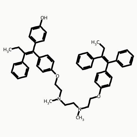 CC/C(=C(\c1ccccc1)c1ccc(OCCN(C)CCN(C)CCOc2ccc(/C(=C(/CC)c3ccccc3)c3ccc(O)cc3)cc2)cc1)c1ccccc1